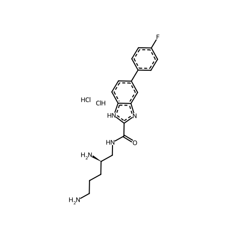 Cl.Cl.NCCC[C@@H](N)CNC(=O)c1nc2cc(-c3ccc(F)cc3)ccc2[nH]1